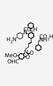 COc1cc2c(cc1C=O)oc(=O)n2CCC=Cc1ccc(-c2ccccc2)c(N(C(=O)O)[C@H]2CC[C@H](N)CC2)c1.O=C(O)NCc1ccccc1